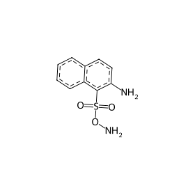 NOS(=O)(=O)c1c(N)ccc2ccccc12